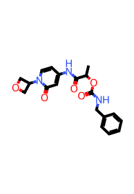 CC(OC(=O)NCc1ccccc1)C(=O)Nc1ccn(C2COC2)c(=O)c1